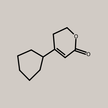 O=C1C=C(C2CCCCC2)CCO1